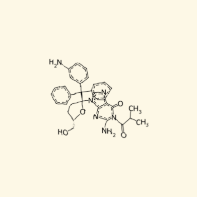 CC(C)C(=O)n1c(N)nc2c(ncn2[C@@]2(C(c3ccccc3)(c3ccccc3)c3cccc(N)c3)CC[C@@H](CO)O2)c1=O